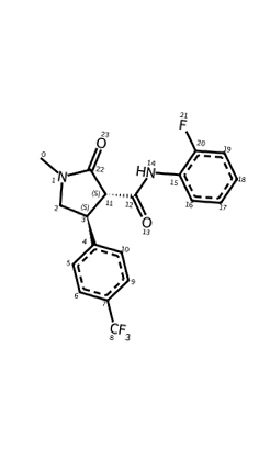 CN1C[C@H](c2ccc(C(F)(F)F)cc2)[C@@H](C(=O)Nc2ccccc2F)C1=O